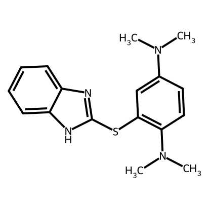 CN(C)c1ccc(N(C)C)c(Sc2nc3ccccc3[nH]2)c1